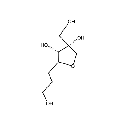 OCCCC1OC[C@](O)(CO)[C@H]1O